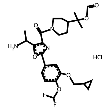 CC(N)c1oc(-c2ccc(OC(F)F)c(OCC3CC3)c2)nc1C(=O)N1CCC(C(C)(C)OC=O)CC1.Cl